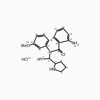 CCCC(C1CCCN1)N(C(=O)c1ccccc1N)c1cccc(OC)c1.Cl